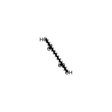 O=C(CCCCCCCCCCCC(=O)OCCCCO)OCCCCO